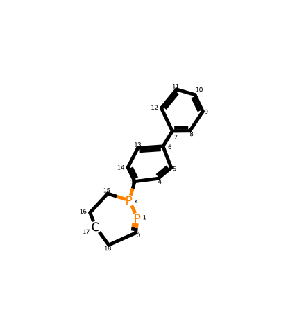 C1=PP(c2ccc(-c3ccccc3)cc2)CCCC1